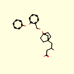 CC(CC(=O)O)CC12CCC(OCc3ccccc3Oc3ccccc3)(CC1)C2